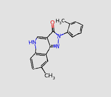 Cc1ccc2[nH]cc3c(=O)n(-c4ccccc4C)nc-3c2c1